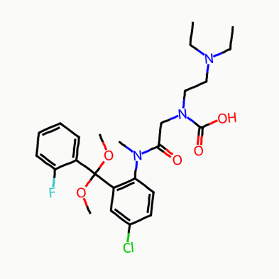 CCN(CC)CCN(CC(=O)N(C)c1ccc(Cl)cc1C(OC)(OC)c1ccccc1F)C(=O)O